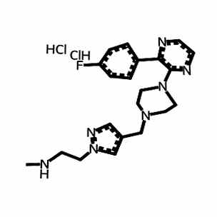 CNCCn1cc(CN2CCN(c3nccnc3-c3ccc(F)cc3)CC2)cn1.Cl.Cl